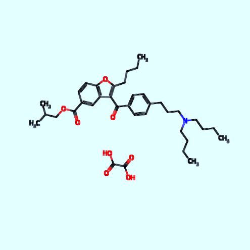 CCCCc1oc2ccc(C(=O)OCC(C)C)cc2c1C(=O)c1ccc(CCCN(CCCC)CCCC)cc1.O=C(O)C(=O)O